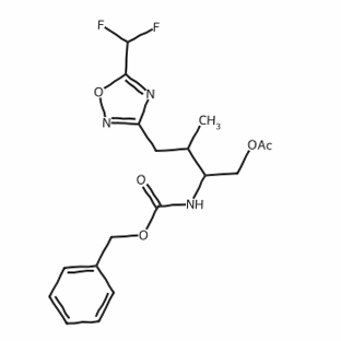 CC(=O)OCC(NC(=O)OCc1ccccc1)C(C)Cc1noc(C(F)F)n1